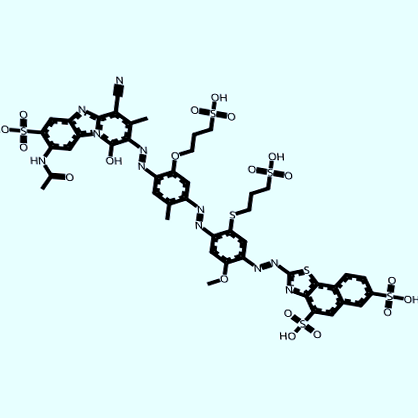 COc1cc(N=Nc2cc(OCCCS(=O)(=O)O)c(N=Nc3c(C)c(C#N)c4nc5cc(S(=O)(=O)O)c(NC(C)=O)cc5n4c3O)cc2C)c(SCCCS(=O)(=O)O)cc1N=Nc1nc2c(S(=O)(=O)O)cc3cc(S(=O)(=O)O)ccc3c2s1